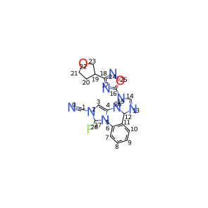 N#CN1C=C2N(c3ccccc3C3N=CN(c4nc(C5CCOC5)no4)N23)C1F